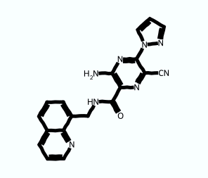 N#Cc1nc(C(=O)NCc2cccc3cccnc23)c(N)nc1-n1cccn1